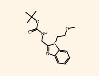 COCCn1c(CNC(=O)OC(C)(C)C)nc2ccccc21